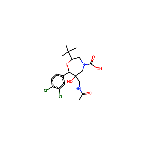 CC(=O)NCC1(O)CN(C(=O)O)CC(C(C)(C)C)OC1c1ccc(Cl)c(Cl)c1